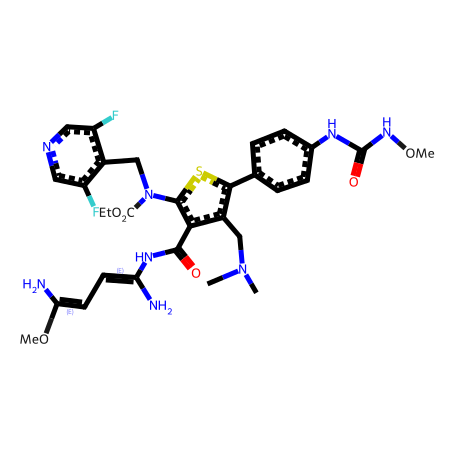 CCOC(=O)N(Cc1c(F)cncc1F)c1sc(-c2ccc(NC(=O)NOC)cc2)c(CN(C)C)c1C(=O)N/C(N)=C/C=C(\N)OC